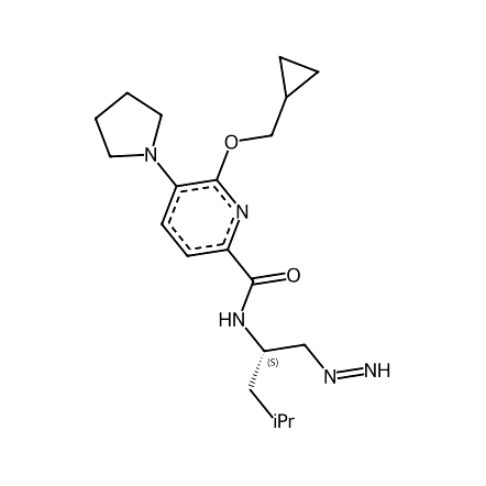 CC(C)C[C@@H](CN=N)NC(=O)c1ccc(N2CCCC2)c(OCC2CC2)n1